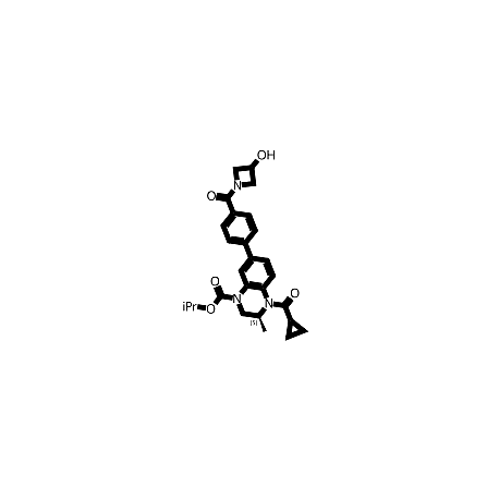 CC(C)OC(=O)N1C[C@H](C)N(C(=O)C2CC2)c2ccc(-c3ccc(C(=O)N4CC(O)C4)cc3)cc21